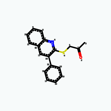 CC(=O)CSc1nc2ccccc2cc1-c1ccccc1